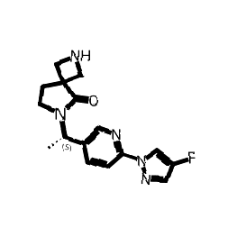 C[C@@H](c1ccc(-n2cc(F)cn2)nc1)N1CCC2(CNC2)C1=O